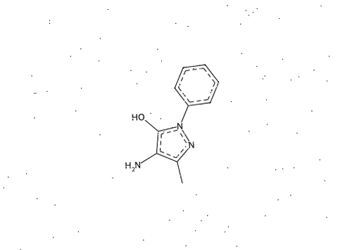 Cc1nn(-c2ccccc2)c(O)c1N